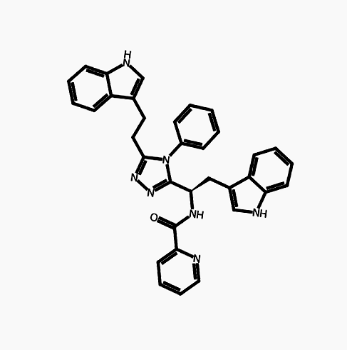 O=C(N[C@H](Cc1c[nH]c2ccccc12)c1nnc(CCc2c[nH]c3ccccc23)n1-c1ccccc1)c1ccccn1